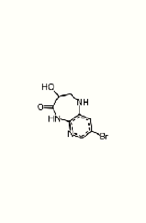 O=C1Nc2ncc(Br)cc2NCC1O